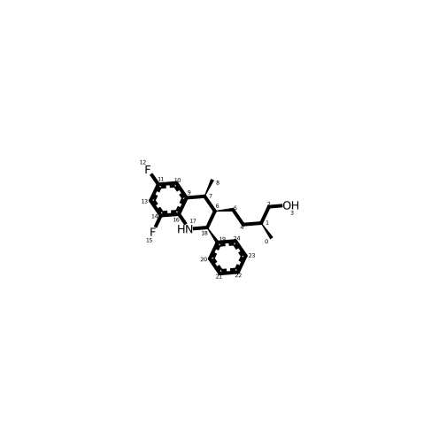 C[C@H](CO)CC[C@@H]1[C@H](C)c2cc(F)cc(F)c2N[C@@H]1c1ccccc1